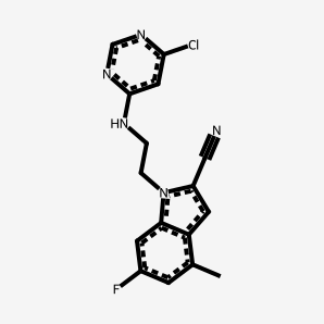 Cc1cc(F)cc2c1cc(C#N)n2CCNc1cc(Cl)ncn1